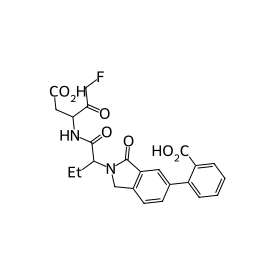 CCC(C(=O)NC(CC(=O)O)C(=O)CF)N1Cc2ccc(-c3ccccc3C(=O)O)cc2C1=O